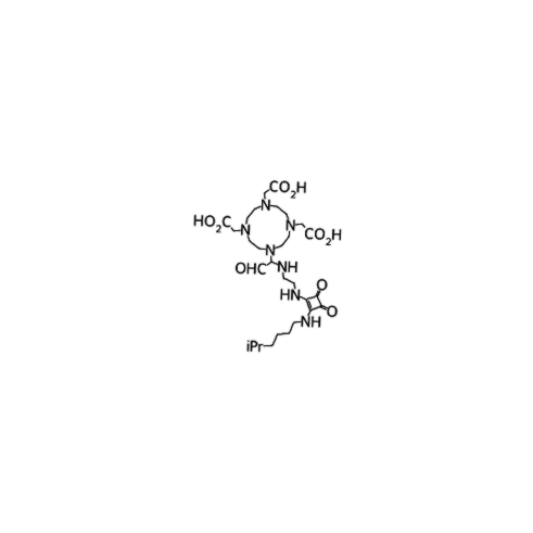 CC(C)CCCCNc1c(NCCNC(C=O)N2CCN(CC(=O)O)CCN(CC(=O)O)CCN(CC(=O)O)CC2)c(=O)c1=O